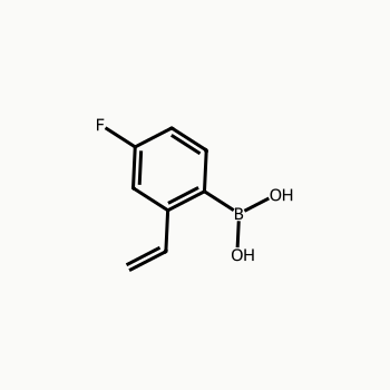 C=Cc1cc(F)ccc1B(O)O